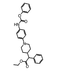 CCOC(=O)C(c1ccccc1)C1CCN(c2ccc(NC(=O)Oc3ccccc3)cc2)CC1